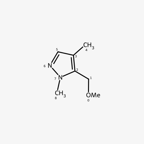 COCc1c(C)cnn1C